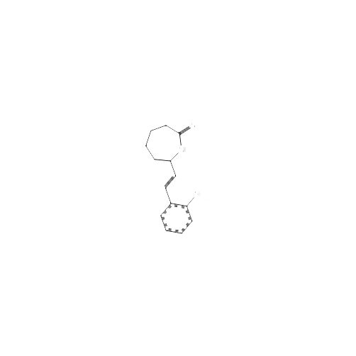 N=C1CCCCC(/C=C/c2ccccc2[N+](=O)[O-])N1